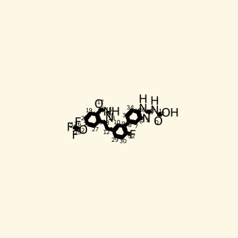 O=C(O)Nc1nc2cc(-c3cc(Cc4n[nH]c(=O)c5ccc(OC(F)(F)F)cc45)ccc3F)ccc2[nH]1